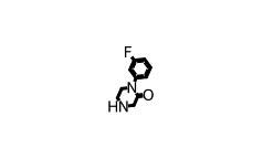 O=C1CNCCN1c1cccc(F)c1